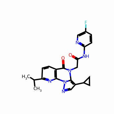 CC(C)c1ccc2c(=O)n(CC(=O)Nc3ccc(F)cn3)c3c(C4CC4)cnn3c2n1